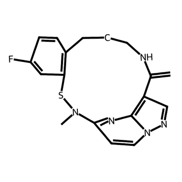 C=C1NCCCc2ccc(F)cc2SN(C)c2ccn3ncc1c3n2